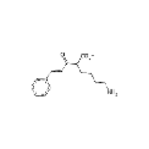 NCCCCC(C(=O)O)C(=O)C=Cc1ccccc1